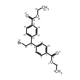 CCOC(=O)c1ccc(C(CBr)c2ccc(C(=O)OCC)cc2)cc1